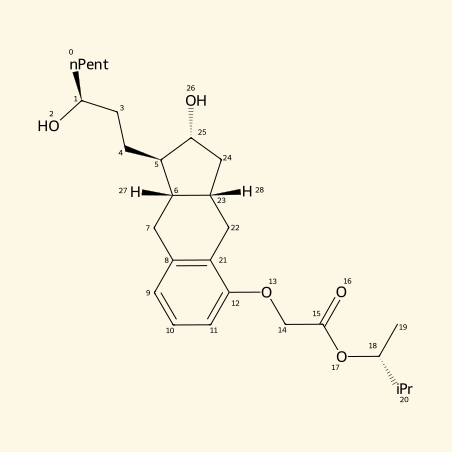 CCCCC[C@H](O)CC[C@@H]1[C@H]2Cc3cccc(OCC(=O)O[C@H](C)C(C)C)c3C[C@H]2C[C@H]1O